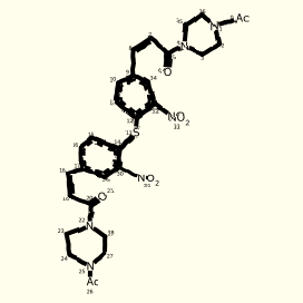 CC(=O)N1CCN(C(=O)/C=C\c2ccc(Sc3ccc(/C=C\C(=O)N4CCN(C(C)=O)CC4)cc3[N+](=O)[O-])c([N+](=O)[O-])c2)CC1